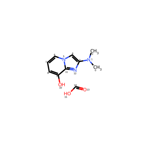 CN(C)c1cn2cccc(O)c2n1.O=CO